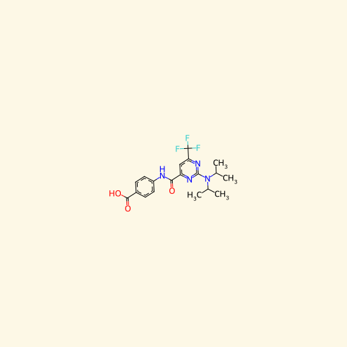 CC(C)N(c1nc(C(=O)Nc2ccc(C(=O)O)cc2)cc(C(F)(F)F)n1)C(C)C